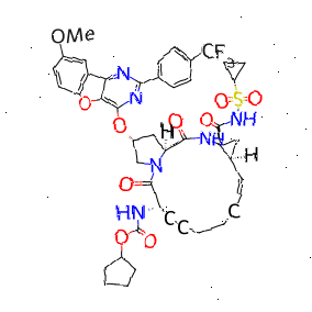 COc1ccc2oc3c(O[C@@H]4C[C@H]5C(=O)N[C@]6(C(=O)NS(=O)(=O)C7CC7)C[C@H]6/C=C\CCCCC[C@H](NC(=O)OC6CCCC6)C(=O)N5C4)nc(-c4ccc(C(F)(F)F)cc4)nc3c2c1